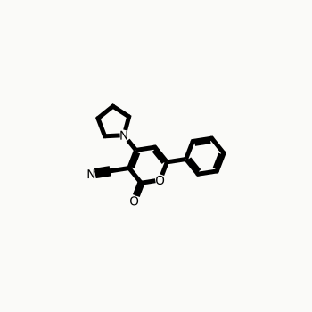 N#Cc1c(N2CCCC2)cc(-c2ccccc2)oc1=O